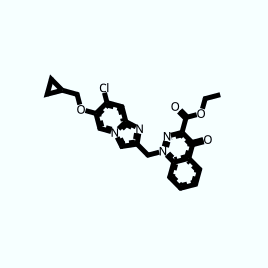 CCOC(=O)c1nn(Cc2cn3cc(OCC4CC4)c(Cl)cc3n2)c2ccccc2c1=O